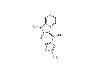 CC(=O)N1C(=O)/C(=C(/O)c2cc(C)on2)c2ccccc21